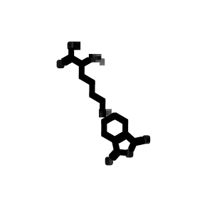 NCCCCC(N)C(=O)O.O=C1OC(=O)C2=C1CCCC2